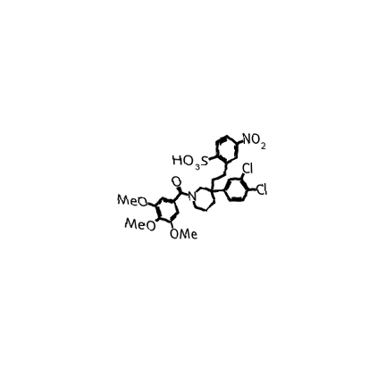 COc1cc(C(=O)N2CCCC(CCc3cc([N+](=O)[O-])ccc3S(=O)(=O)O)(c3ccc(Cl)c(Cl)c3)C2)cc(OC)c1OC